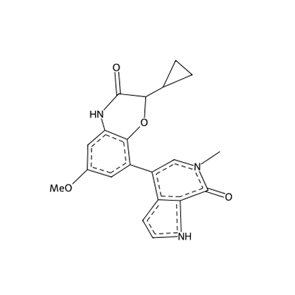 COc1cc2c(c(-c3cn(C)c(=O)c4[nH]ccc34)c1)OC(C1CC1)C(=O)N2